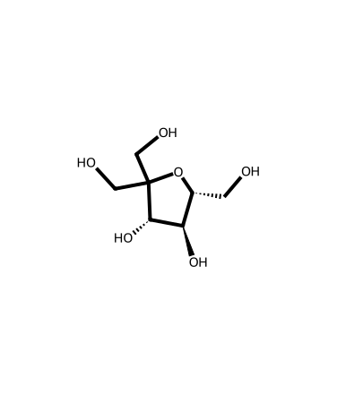 OC[C@H]1OC(CO)(CO)[C@@H](O)[C@@H]1O